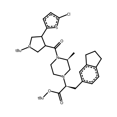 C[C@H]1CN([C@@H](Cc2ccc3c(c2)CCC3)C(=O)OC(C)(C)C)CCN1C(=O)C1CN(C(C)(C)C)CC1c1ccc(Cl)s1